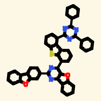 c1ccc(-c2nc(-c3ccccc3)nc(-c3cccc4sc5c(-c6nc(-c7ccc8c(c7)oc7ccccc78)nc7c6oc6ccccc67)cccc5c34)n2)cc1